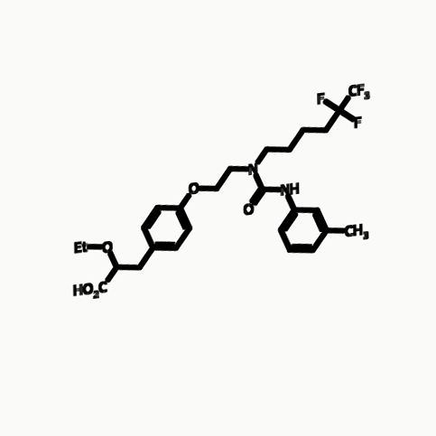 CCOC(Cc1ccc(OCCN(CCCCC(F)(F)C(F)(F)F)C(=O)Nc2cccc(C)c2)cc1)C(=O)O